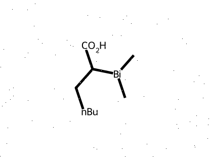 CCCCC[CH](C(=O)O)[Bi]([CH3])[CH3]